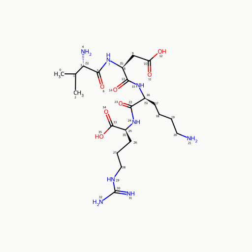 CC(C)[C@H](N)C(=O)N[C@@H](CC(=O)O)C(=O)N[C@@H](CCCCN)C(=O)N[C@@H](CCCNC(=N)N)C(=O)O